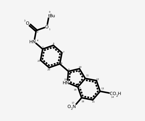 CC(C)(C)OC(=O)Nc1ccc(-c2cc3cc(C(=O)O)cc([N+](=O)[O-])c3[nH]2)cc1